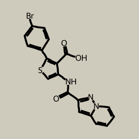 O=C(Nc1csc(-c2ccc(Br)cc2)c1C(=O)O)c1cc2ccccn2n1